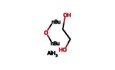 CCCCOCCCC.OCCO.[AlH3]